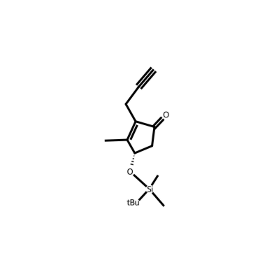 C#CCC1=C(C)[C@@H](O[Si](C)(C)C(C)(C)C)CC1=O